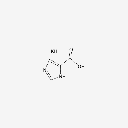 O=C(O)c1cnc[nH]1.[KH]